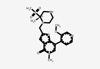 COc1cnccc1-c1cn(C)c(=O)c2cc(CN3CCNC[C@@]3(C)S(C)(=O)=O)sc12